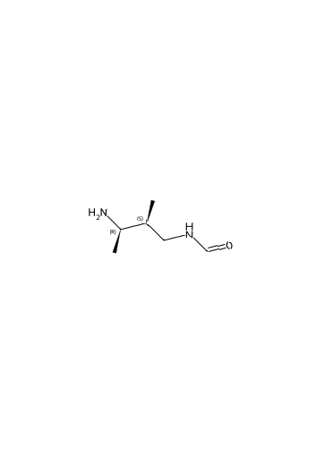 C[C@@H](N)[C@@H](C)CNC=O